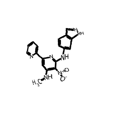 CNc1cc(-c2ccccn2)nc(Nc2ccc3cn[nH]c3c2)c1[N+](=O)[O-]